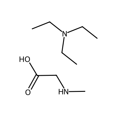 CCN(CC)CC.CNCC(=O)O